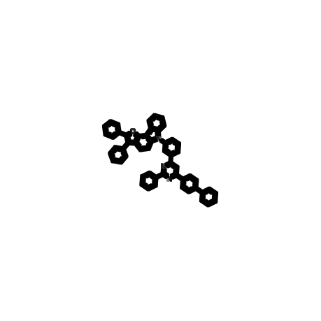 c1ccc(-c2ccc(-c3cc(-c4cccc(-n5c6ccccc6c6c7oc(-c8ccccc8)c(-c8ccccc8)c7ccc65)c4)nc(-c4ccccc4)n3)cc2)cc1